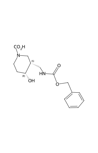 O=C(NC[C@H]1CN(C(=O)O)CC[C@H]1O)OCc1ccccc1